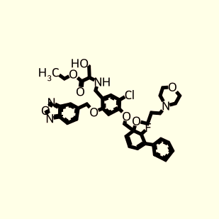 CCOC(=O)C(CO)NCc1cc(Cl)c(OCC2(OCCCN3CCOCC3)C=CC=C(c3ccccc3)C2F)cc1OCc1ccc2nonc2c1